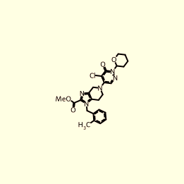 COC(=O)c1nc2c(n1Cc1ccccc1C)CCN(c1cnn(C3CCCCO3)c(=O)c1Cl)C2